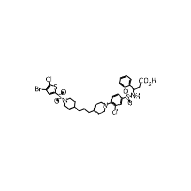 O=C(O)CC(NS(=O)(=O)c1ccc(N2CCC(CCCC3CCN(S(=O)(=O)c4cc(Br)c(Cl)s4)CC3)CC2)c(Cl)c1)c1ccccc1